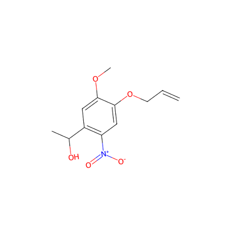 C=CCOc1cc([N+](=O)[O-])c(C(C)O)cc1OC